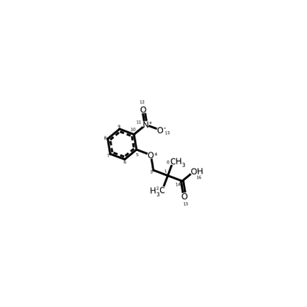 CC(C)(COc1ccccc1[N+](=O)[O-])C(=O)O